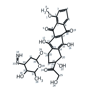 COc1cccc2c1C(=O)c1c(O)c3c(c(O)c1C2=O)C[C@@](O)(C(=O)CO)C[C@@H]3OC1CC(N=N)C(O)C(C)O1